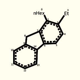 CCCCCCc1c(CC)ccc2c1Cc1ccccc1-2